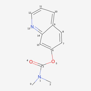 CN(C)C(=O)Oc1ccc2cccnc2c1